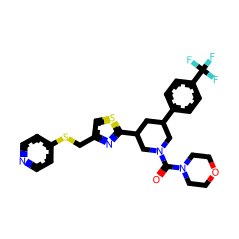 O=C(N1CCOCC1)N1CC(c2ccc(C(F)(F)F)cc2)CC(c2nc(CSc3ccncc3)cs2)C1